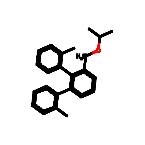 Cc1ccccc1-c1cccc([SiH2]OC(C)C)c1-c1ccccc1C